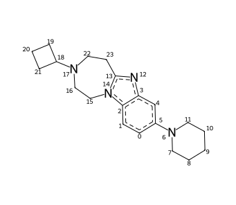 c1cc2c(cc1N1CCCCC1)nc1n2CCN(C2CCC2)CC1